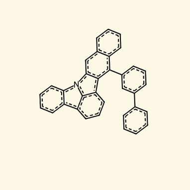 c1ccc(-c2cccc(-c3c4ccccc4cc4c3c3cccc5c6ccccc6n4c53)c2)cc1